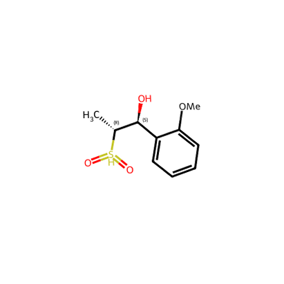 COc1ccccc1[C@H](O)[C@@H](C)[SH](=O)=O